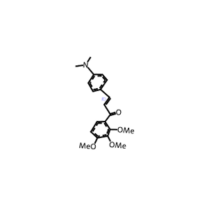 COc1ccc(C(=O)/C=C/c2ccc(N(C)C)cc2)c(OC)c1OC